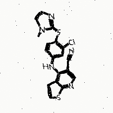 Cn1ccnc1Sc1ccc(Nc2c(C#N)cnc3sccc23)cc1Cl